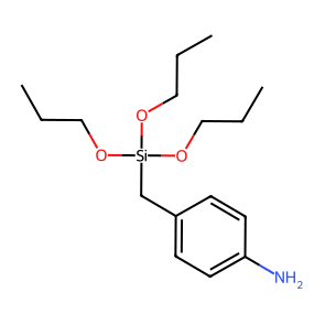 CCCO[Si](Cc1ccc(N)cc1)(OCCC)OCCC